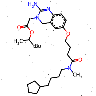 CC(OC(=O)CN1Cc2cc(OCCCC(=O)N(C)CCCCC3CCCC3)ccc2N=C1N)C(C)(C)C